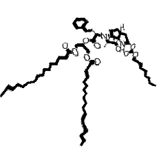 CCCCCCCCCCCCCCCC(=O)OCC(COC(=O)CCCCCCCCCCCCCCC)OC(=O)[C@H](CCc1ccccc1)N[C@@H](C)C(=O)[C@]12CCC[C@H]1C[C@H](OC(=O)OCCCCCCCC)N2